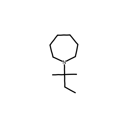 CCC(C)(C)N1CCCCCC1